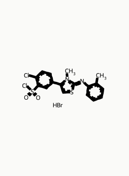 Br.Cc1ccccc1N=c1scc(-c2ccc(Cl)c(S(=O)(=O)Cl)c2)n1C